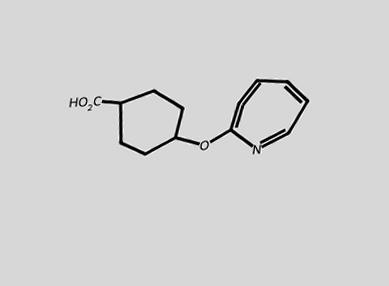 O=C(O)C1CCC(OC2=C=CC=CC=N2)CC1